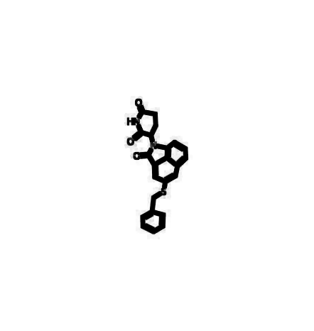 O=C1CCC(N2C(=O)c3cc(SCc4ccccc4)cc4cccc2c34)C(=O)N1